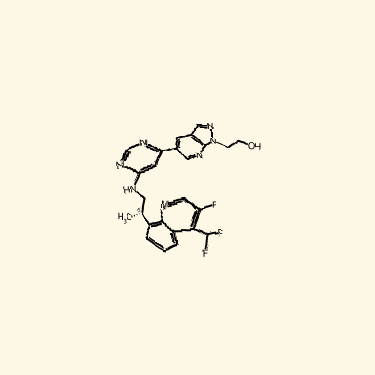 C[C@H](CNc1cc(-c2cnc3c(cnn3CCO)c2)ncn1)c1cccc2c(C(F)F)c(F)cnc12